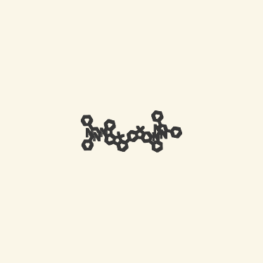 CC1(C)c2ccc(-c3cccc4c3C(C)(C)c3c-4ccc4c3c3ccccc3n4-c3cc(-c4ccccc4)nc(-c4ccccc4)n3)cc2-c2cc3c4ccccc4n(-c4nc(-c5ccccc5)cc(-c5ccccc5)n4)c3cc21